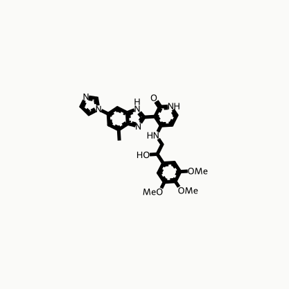 COc1cc(C(O)CNc2cc[nH]c(=O)c2-c2nc3c(C)cc(-n4ccnc4)cc3[nH]2)cc(OC)c1OC